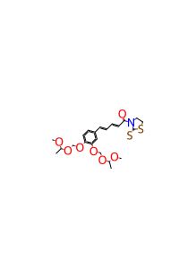 COC(C)OCOc1ccc(C=CC=CC(=O)N2CCSC2=S)cc1OCOC(C)OC